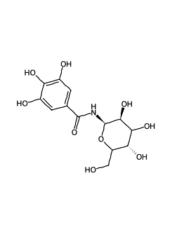 O=C(N[C@@H]1OC(CO)[C@@H](O)C(O)[C@@H]1O)c1cc(O)c(O)c(O)c1